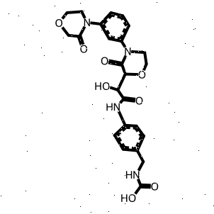 O=C(O)NCc1ccc(NC(=O)C(O)C2OCCN(c3cccc(N4CCOCC4=O)c3)C2=O)cc1